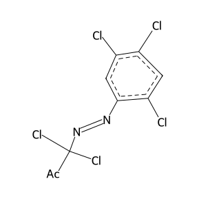 CC(=O)C(Cl)(Cl)/N=N/c1cc(Cl)c(Cl)cc1Cl